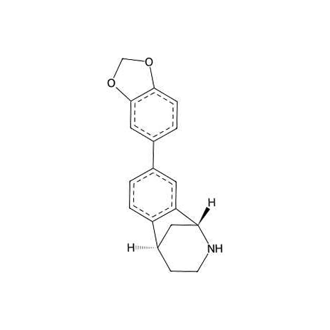 c1cc2c(cc1-c1ccc3c(c1)[C@H]1C[C@H]3CCN1)OCO2